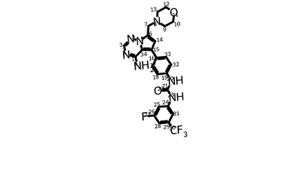 Nc1ncnn2c(CN3CCOCC3)cc(-c3ccc(NC(=O)Nc4cc(F)cc(C(F)(F)F)c4)cc3)c12